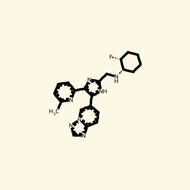 Cc1cccc(-c2nc(CN[C@H]3CCCC[C@H]3F)[nH]c2-c2ccc3ncnn3c2)n1